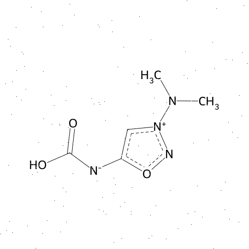 CN(C)[n+]1cc([N-]C(=O)O)on1